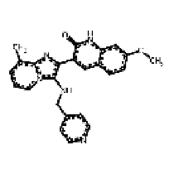 COc1ccc2cc(-c3nc4c(C)cccn4c3NCc3ccncc3)c(=O)[nH]c2c1